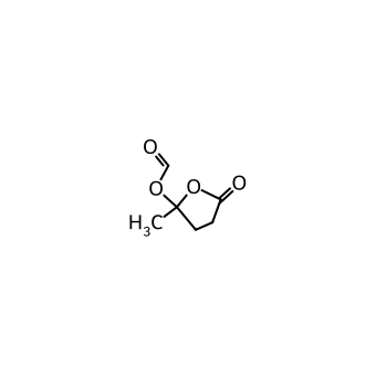 CC1(OC=O)CCC(=O)O1